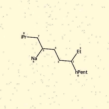 CCCCCC(CC)CC[CH]([Na])CC(C)C